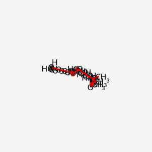 CCCC1O[C@@H]2C[C@H]3[C@@H]4CCC5=CC(=O)C=C[C@]5(C)C4[C@@H](O)C[C@]3(C)[C@]2(C(=O)COCNC(=O)CNC(=O)CNC(=O)CNC(=O)CNC(=O)[C@H](CO)NC(=O)COC2CCCCCc3c2nnn3CCOCCOCCOCCOCCC(=O)NCCS(=O)(=O)O)O1